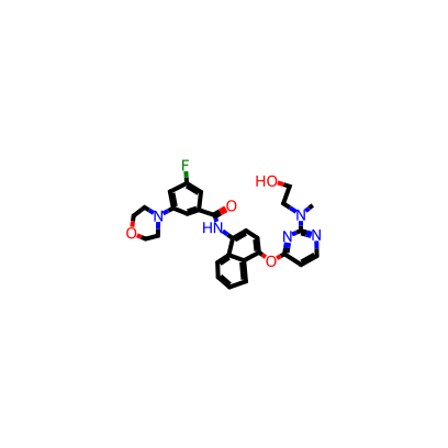 CN(CCO)c1nccc(Oc2ccc(NC(=O)c3cc(F)cc(N4CCOCC4)c3)c3ccccc23)n1